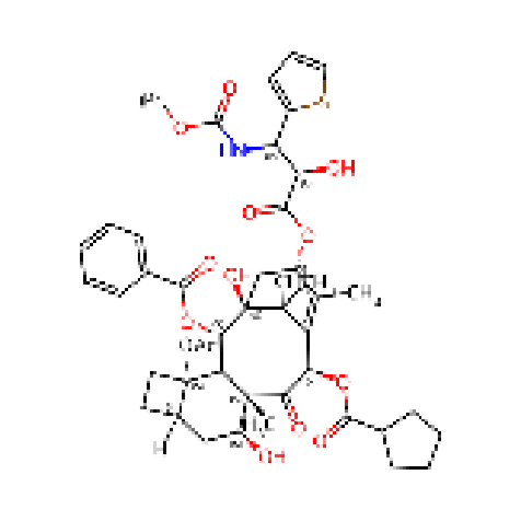 CC(=O)O[C@@]12CC[C@@H]1C[C@H](O)[C@@]1(C)C(=O)[C@H](OC(=O)C3CCCC3)C3=C(C)[C@@H](OC(=O)[C@H](O)[C@@H](NC(=O)OC(C)C)c4cccs4)C[C@@](O)([C@@H](OC(=O)c4ccccc4)C12)C3(C)C